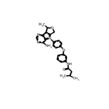 CC(C)CC(=O)Nc1cccc(Oc2ccc(-n3c4c(c5ncnc(N)c53)C(C)OC4)cc2)c1